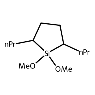 CCCC1CCC(CCC)[Si]1(OC)OC